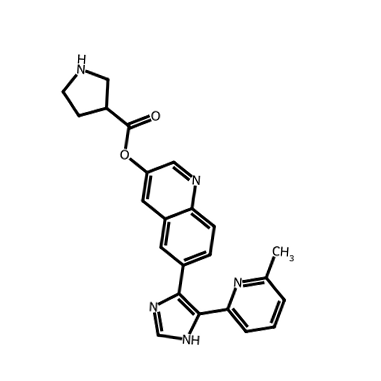 Cc1cccc(-c2[nH]cnc2-c2ccc3ncc(OC(=O)C4CCNC4)cc3c2)n1